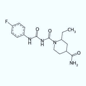 CCC1CC(C(N)=O)CCN1C(=O)NC(=O)Nc1ccc(F)cc1